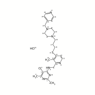 Cc1nc(C)c(Cl)c(NCc2nccc(SCCCN3CCN(Cc4ccncc4)CC3)c2C)n1.Cl